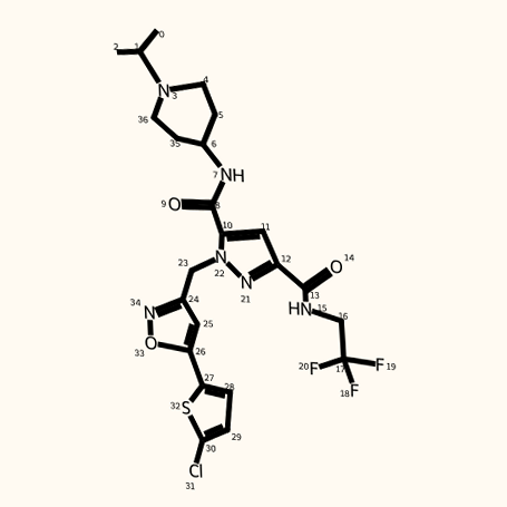 CC(C)N1CCC(NC(=O)c2cc(C(=O)NCC(F)(F)F)nn2Cc2cc(-c3ccc(Cl)s3)on2)CC1